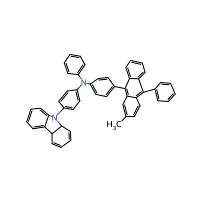 Cc1ccc2c(-c3ccccc3)c3ccccc3c(-c3ccc(N(c4ccccc4)c4ccc(N5c6ccccc6C6C=CC=CC65)cc4)cc3)c2c1